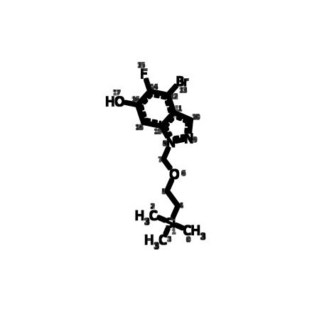 C[Si](C)(C)CCOCn1ncc2c(Br)c(F)c(O)cc21